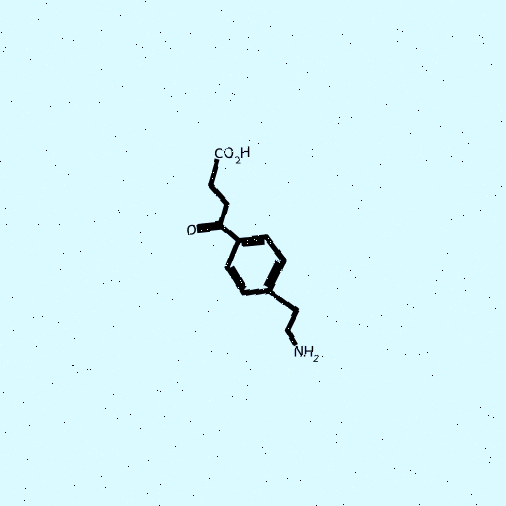 NCCc1ccc(C(=O)CCC(=O)O)cc1